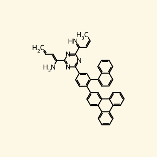 C=C/C=C(\N)c1nc(C(=N)/C=C\C)nc(-c2ccc(-c3ccc4c5ccccc5c5ccccc5c4c3)c(-c3cccc4ccccc34)c2)n1